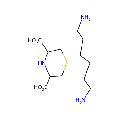 NCCCCCCN.O=C(O)C1CSCC(C(=O)O)N1